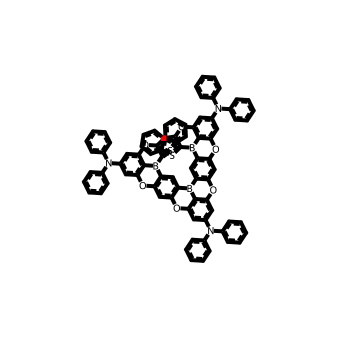 c1ccc(N(c2ccccc2)c2cc3c4c(c2)Oc2cc5c(cc2B4c2cc4c(cc2O3)Oc2cc(N(c3ccccc3)c3ccccc3)cc3c2B4c2sc4ccccc4c2O3)B2c3sc4ccccc4c3Oc3cc(N(c4ccccc4)c4ccccc4)cc(c32)O5)cc1